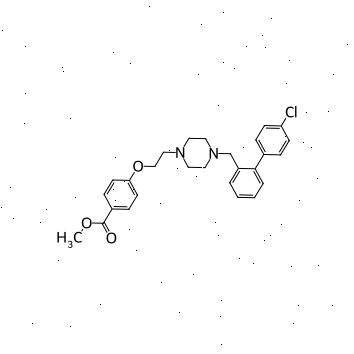 COC(=O)c1ccc(OCCN2CCN(Cc3ccccc3-c3ccc(Cl)cc3)CC2)cc1